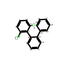 Clc1cccc(Cl)c1-c1ccccc1-c1ccccc1